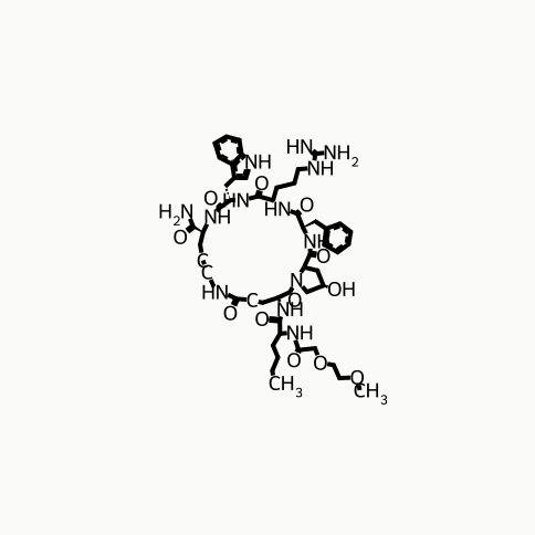 CCCCC(NC(=O)COCCOC)C(=O)N[C@H]1CCC(=O)NCCCC[C@@H](C(N)=O)NC(=O)[C@H](Cc2c[nH]c3ccccc23)NC(=O)C(CCCNC(=N)N)NC(=O)[C@@H](Cc2ccccc2)NC(=O)C2C[C@@H](O)CN2C1=O